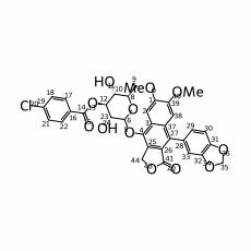 COc1cc2c(OC3O[C@H](C)[C@@H](O)[C@H](OC(=O)c4ccc(Cl)cc4)[C@H]3O)c3c(c(-c4ccc5c(c4)OCO5)c2cc1OC)C(=O)OC3